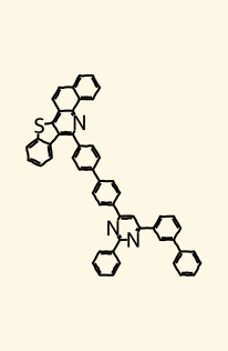 c1ccc(-c2cccc(-c3cc(-c4ccc(-c5ccc(-c6nc7c8ccccc8ccc7c7sc8ccccc8c67)cc5)cc4)nc(-c4ccccc4)n3)c2)cc1